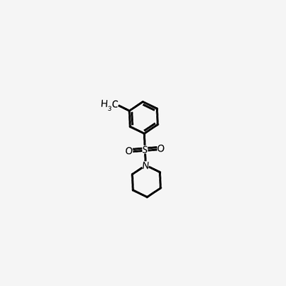 Cc1cccc(S(=O)(=O)N2CCCCC2)c1